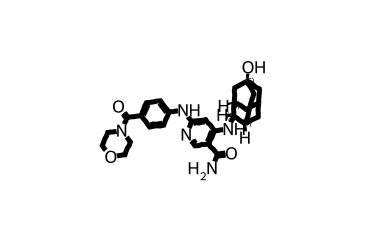 NC(=O)c1cnc(Nc2ccc(C(=O)N3CCOCC3)cc2)cc1N[C@@H]1[C@@H]2CC3C[C@H]1C[C@@](O)(C3)C2